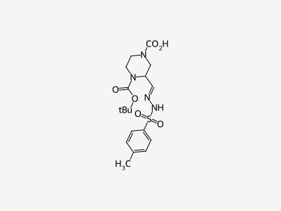 Cc1ccc(S(=O)(=O)NN=CC2CN(C(=O)O)CCN2C(=O)OC(C)(C)C)cc1